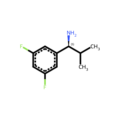 CC(C)[C@H](N)c1cc(F)cc(F)c1